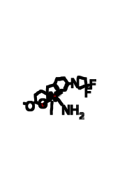 COC1CCC2(CC1)Cc1ccc(N3CCC(F)(F)C3)cc1C21N=C(N)N(C)C1=O